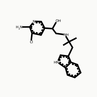 CC(C)(Cc1c[nH]c2ccccc12)NCC(O)c1cnc(N)c(Cl)c1